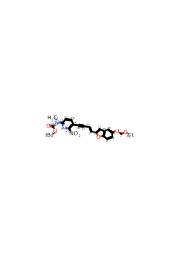 CCOCOc1ccc2oc(C=CC#Cc3ccc(N(C)C(=O)OC(C)(C)C)nc3[N+](=O)[O-])cc2c1